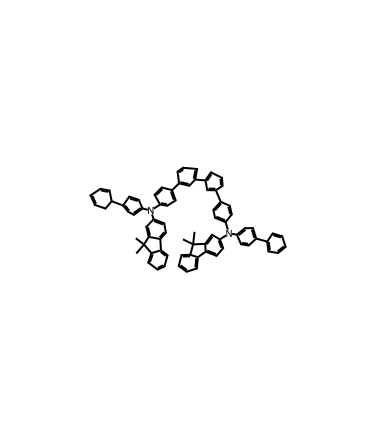 CC1(C)c2ccccc2-c2ccc(N(c3ccc(-c4ccccc4)cc3)c3ccc(-c4cccc(-c5cccc(-c6ccc(N(c7ccc(C8C=CC=CC8)cc7)c7ccc8c(c7)C(C)(C)c7ccccc7-8)cc6)c5)c4)cc3)cc21